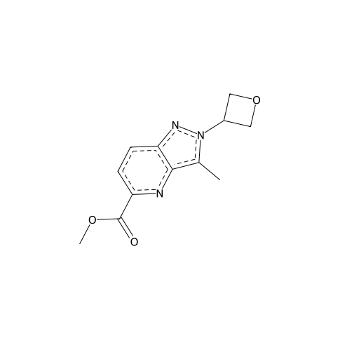 COC(=O)c1ccc2nn(C3COC3)c(C)c2n1